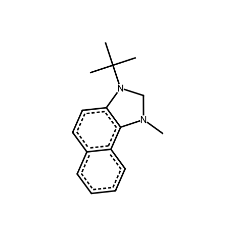 CN1CN(C(C)(C)C)c2ccc3ccccc3c21